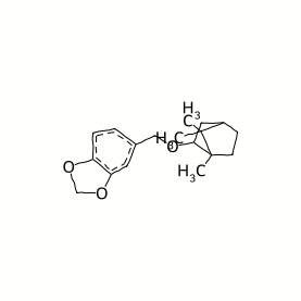 CC1(C)C2CCC1(C)C(OCc1ccc3c(c1)OCO3)C2